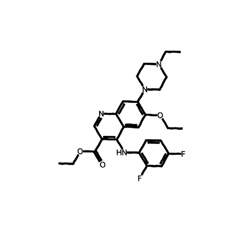 CCOC(=O)c1cnc2cc(N3CCN(CC)CC3)c(OCC)cc2c1Nc1ccc(F)cc1F